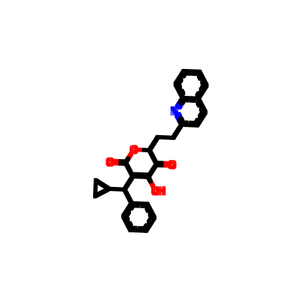 O=C1OC(CCc2ccc3ccccc3n2)C(=O)C(O)=C1C(c1ccccc1)C1CC1